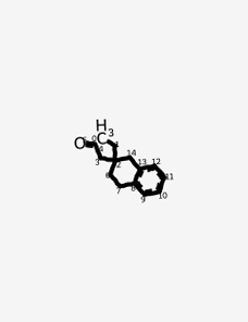 CCC1(CC=O)CCc2ccccc2C1